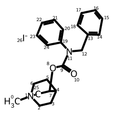 C[N+]12CCC(CC1)C(OC(=O)N(Cc1ccccc1)c1ccccc1)C2.[I-]